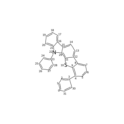 c1ccc(-c2cccc3c2sc2c3ccc3c4ccccc4n(-c4ccccc4)c32)cc1